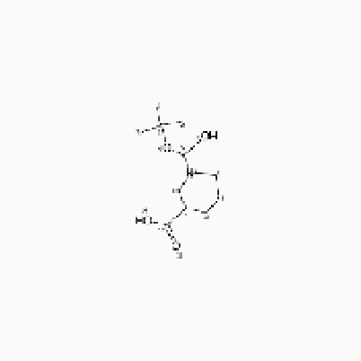 CC(C)(C)OC(O)N1CCCC(C(=O)O)C1